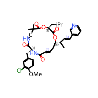 COc1ccc(C[C@H]2NC(=O)/C=C/C[C@@H](C(C)/C=C/c3cccnc3)OC(=O)[C@H](CC(C)C)OC(=O)C(C)(C)CNC2=O)cc1Cl